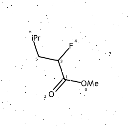 COC(=O)C(F)CC(C)C